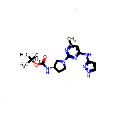 Cc1cc(Nc2cc[nH]n2)nc(N2CC[C@H](NC(=O)OC(C)(C)C)C2)n1